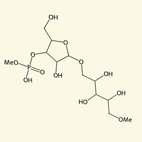 COCC(O)C(O)C(O)COC1OC(CO)C(OP(=O)(O)OC)C1O